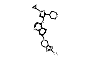 FC(F)(F)c1nc2n(n1)CCN(c1ccc3c(Oc4cn(C5CC5)nc4C4CCOCC4)ccnc3c1)C2